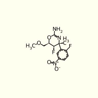 COC[C@H]1OC(N)=N[C@](C)(c2cc([N+](=O)[O-])ccc2F)[C@H]1F